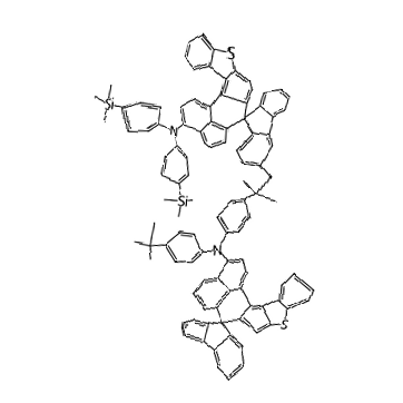 CC(C)(C)c1ccc(N(c2ccc(C(C)(C)Cc3ccc4c(c3)-c3ccccc3C43c4ccc5sc6ccccc6c5c4-c4ccc(N(c5ccc([Si](C)(C)C)cc5)c5ccc([Si](C)(C)C)cc5)c5cccc3c45)cc2)c2ccc3c4c(cccc24)C2(c4ccccc4-c4ccccc42)c2ccc4sc5ccccc5c4c2-3)cc1